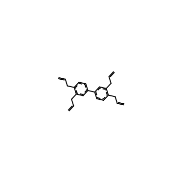 C=CCc1ccc(-c2ccc(CC=C)c(CC=C)c2)cc1CC=C